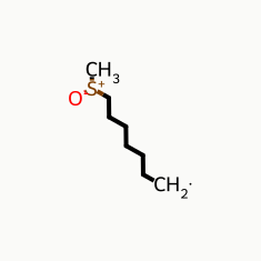 [CH2]CCCCCC[S+](C)[O-]